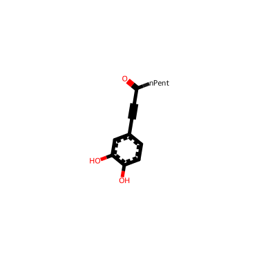 CCCCCC(=O)C#Cc1ccc(O)c(O)c1